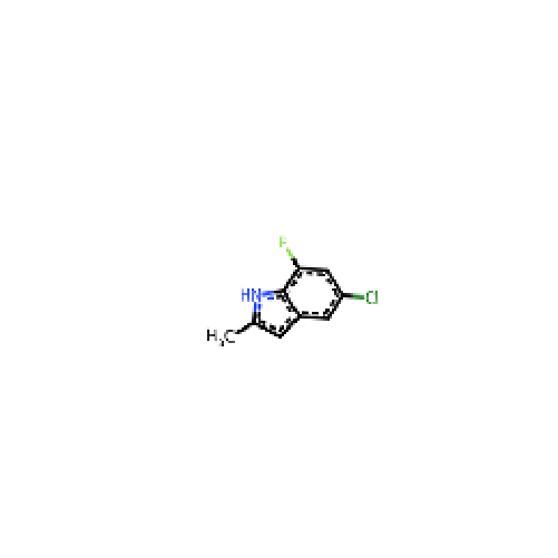 Cc1cc2cc(Cl)cc(F)c2[nH]1